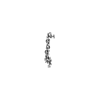 CCNCCOCCOCCOCCN1CCN(CC)CC1